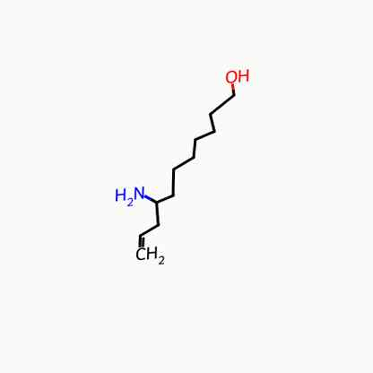 C=CCC(N)CCCCCCCO